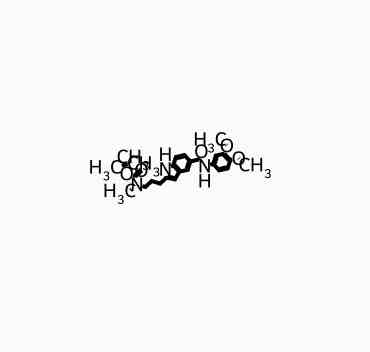 COc1ccc(NC(=O)c2ccc3[nH]c(CCCN(C)C(=O)OC(C)(C)C)cc3c2)cc1OC